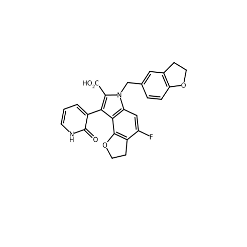 O=C(O)c1c(-c2ccc[nH]c2=O)c2c3c(c(F)cc2n1Cc1ccc2c(c1)CCO2)CCO3